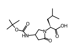 CC(C)C[C@@H](C(=O)O)N1CC(NC(=O)OC(C)(C)C)CC1=O